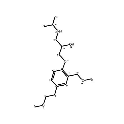 COCCc1ccc(OCC(O)CNC(C)C)c(COC)c1